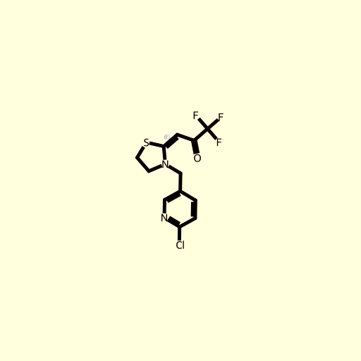 O=C(/C=C1/SCCN1Cc1ccc(Cl)nc1)C(F)(F)F